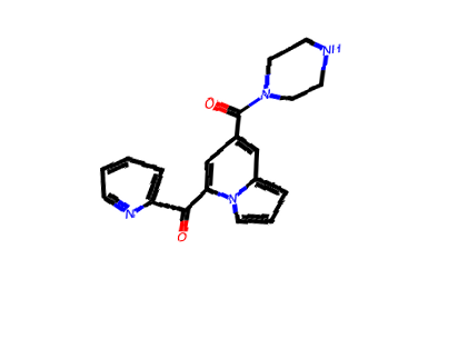 O=C(c1ccccn1)c1cc(C(=O)N2CCNCC2)cc2cccn12